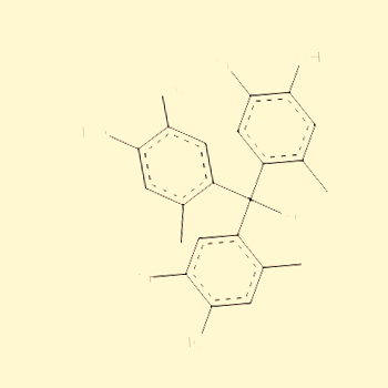 CCC(c1cc(C(C)(C)C)c(O)cc1C)(c1cc(C(C)(C)C)c(O)cc1C)c1cc(C(C)(C)C)c(O)cc1C